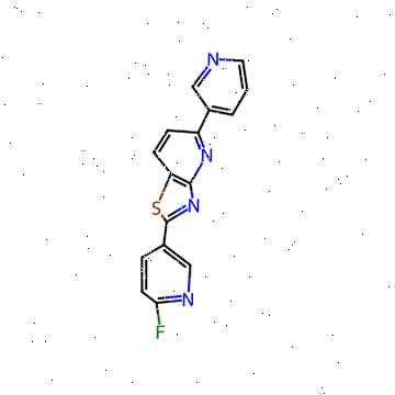 Fc1ccc(-c2nc3nc(-c4cccnc4)ccc3s2)cn1